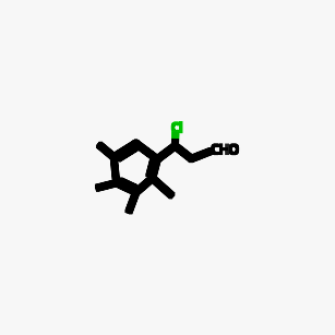 Cc1cc(C(Cl)CC=O)c(C)c(C)c1C